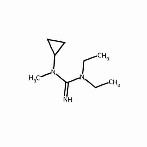 CCN(CC)C(=N)N(C)C1CC1